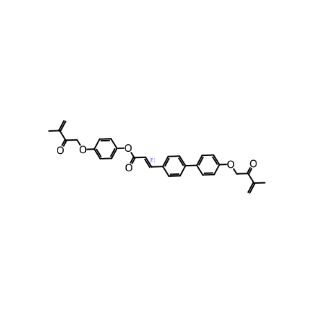 C=C(C)C(=O)COc1ccc(OC(=O)/C=C/c2ccc(-c3ccc(OCC(=O)C(=C)C)cc3)cc2)cc1